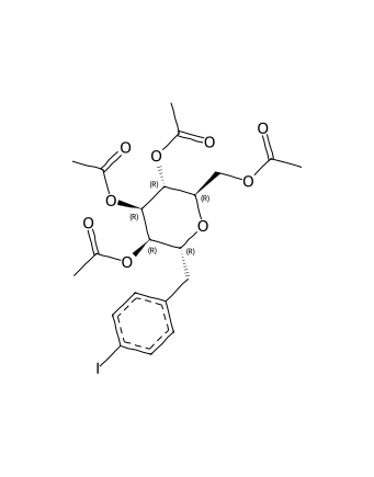 CC(=O)OC[C@H]1O[C@H](Cc2ccc(I)cc2)[C@@H](OC(C)=O)[C@@H](OC(C)=O)[C@@H]1OC(C)=O